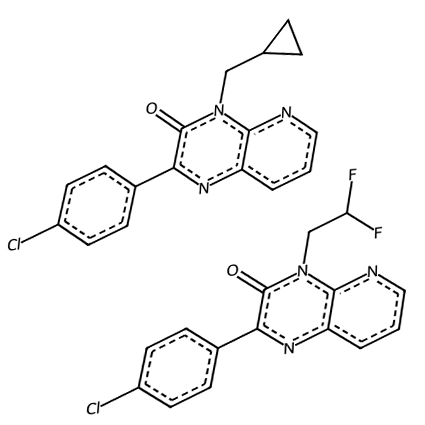 O=c1c(-c2ccc(Cl)cc2)nc2cccnc2n1CC(F)F.O=c1c(-c2ccc(Cl)cc2)nc2cccnc2n1CC1CC1